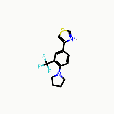 FC(F)(F)c1cc(C2=CSC=[N+]2)ccc1N1CCCC1